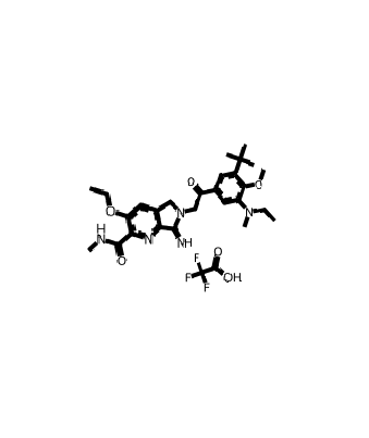 CCOc1cc2c(nc1C(=O)NC)C(=N)N(CC(=O)c1cc(N(C)CC)c(OC)c(C(C)(C)C)c1)C2.O=C(O)C(F)(F)F